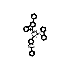 c1ccc(-c2ccc3c(c2)c2ccccc2n3-c2nc(-c3ccc4nc(-c5ccccc5)sc4c3)nc(-n3c4ccccc4c4ccccc43)n2)cc1